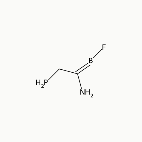 N/C(=B\F)CP